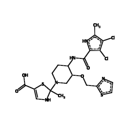 Cc1[nH]c(C(=O)NC2CCN(C3(C)NC=C(C(=O)O)S3)CC2OCc2nccs2)c(Cl)c1Cl